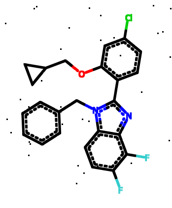 Fc1ccc2c(nc(-c3ccc(Cl)cc3OCC3CC3)n2Cc2ccccc2)c1F